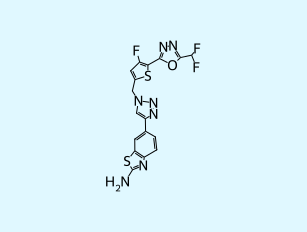 Nc1nc2ccc(-c3cn(Cc4cc(F)c(-c5nnc(C(F)F)o5)s4)nn3)cc2s1